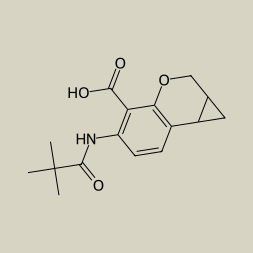 CC(C)(C)C(=O)Nc1ccc2c(c1C(=O)O)OCC1CC21